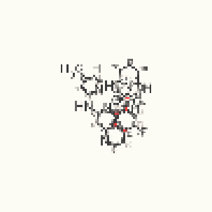 Cc1cc(Nc2cc3ncccc3c(N[C@@H]3C[C@H]4CCC[C@@H](C3)N4S(=O)(=O)c3cncc(F)c3)n2)n[nH]1